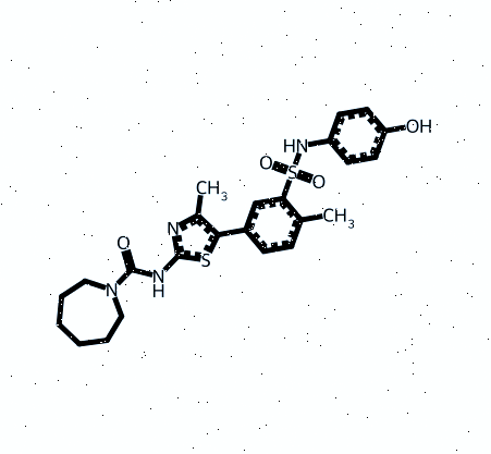 Cc1ccc(-c2sc(NC(=O)N3CCCCCC3)nc2C)cc1S(=O)(=O)Nc1ccc(O)cc1